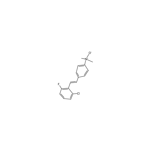 C[N+](C)([O-])c1ccc(C=Cc2c(F)cccc2Cl)cc1